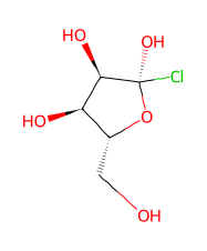 OC[C@H]1O[C@](O)(Cl)[C@H](O)[C@@H]1O